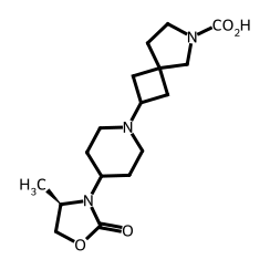 C[C@@H]1COC(=O)N1C1CCN(C2CC3(CCN(C(=O)O)C3)C2)CC1